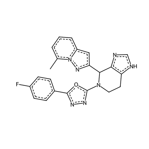 Cc1cccc2cc(C3c4nc[nH]c4CCN3c3nnc(-c4ccc(F)cc4)o3)nn12